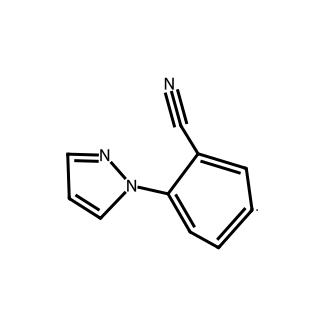 N#Cc1c[c]ccc1-n1cccn1